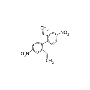 C=Cc1cc([N+](=O)[O-])ccc1-c1ccc([N+](=O)[O-])cc1C=C